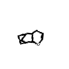 C1=COC2C3CCC(C3)C2C1